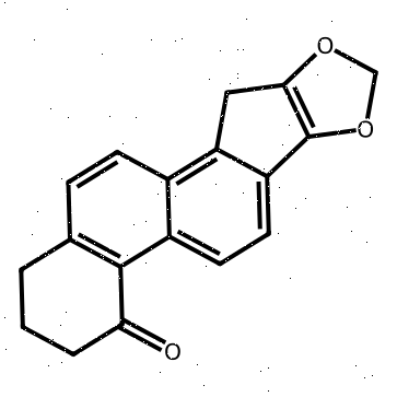 O=C1CCCc2ccc3c4c(ccc3c21)C1=C(C4)OCO1